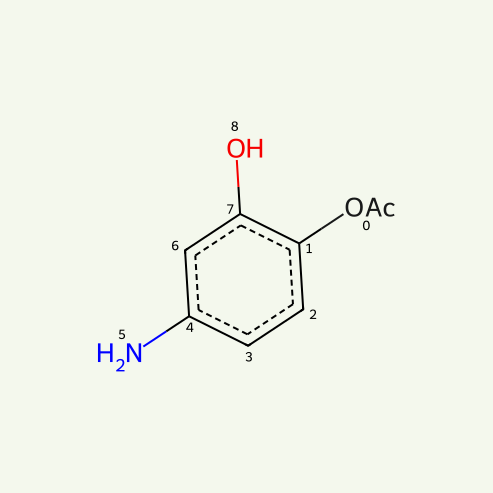 CC(=O)Oc1ccc(N)cc1O